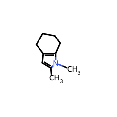 Cc1cc2c(n1C)CCCC2